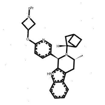 CCCN1CC(Oc2ccc([C@@H]3c4[nH]c5ccccc5c4C[C@@H](C)N3[C@@H]3CC4CC3C4)cn2)C1